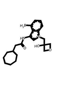 Bc1cccc2c1c(NC(=O)CC1CCCCCC1)cn2CC1(O)COC1